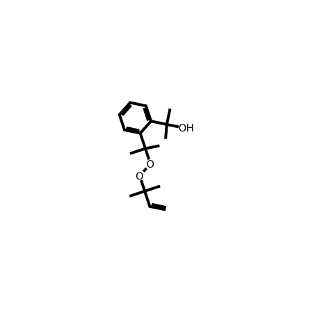 C=CC(C)(C)OOC(C)(C)c1ccccc1C(C)(C)O